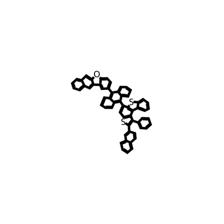 c1ccc(-c2c(-c3ccc4ccccc4c3)sc3cc(-c4c5ccccc5c(-c5ccc6oc7cc8ccccc8cc7c6c5)c5ccccc45)c4sc5ccccc5c4c23)cc1